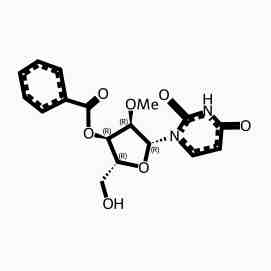 CO[C@@H]1[C@H](OC(=O)c2ccccc2)[C@@H](CO)O[C@H]1n1ccc(=O)[nH]c1=O